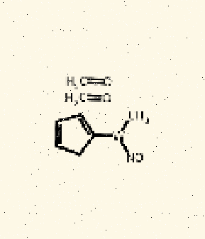 C=O.C=O.[CH3][W]([N]=O)[C]1=CC=CC1